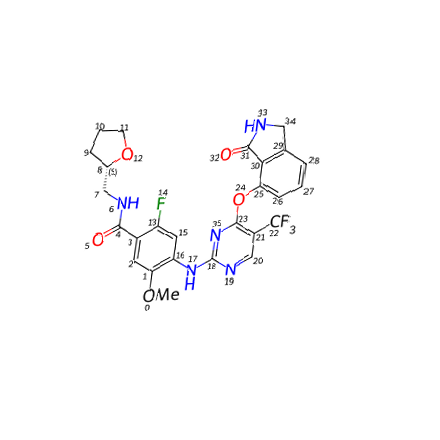 COc1cc(C(=O)NC[C@@H]2CCCO2)c(F)cc1Nc1ncc(C(F)(F)F)c(Oc2cccc3c2C(=O)NC3)n1